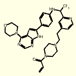 C=CC(=O)N1CCN(CCc2ccnc(C(Nc3ccc(-c4cc5c(N6CCOCC6)ncnc5[nH]4)cc3)C(F)(F)F)c2)CC1